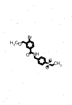 CCS(=O)(=O)c1ccc(CNC(=O)c2ccc(Br)c(COC)c2)cc1